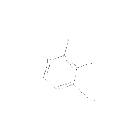 CC1=C(C)C(N)=CC=I1